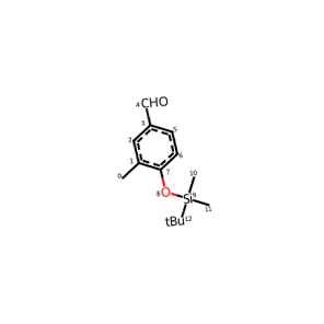 Cc1cc(C=O)ccc1O[Si](C)(C)C(C)(C)C